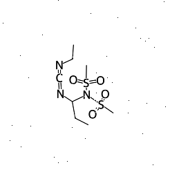 CCN=C=NC(CC)N(S(C)(=O)=O)S(C)(=O)=O